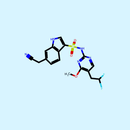 COc1nc(NS(=O)(=O)c2c[nH]c3cc(CC#N)ccc23)ncc1CC(F)F